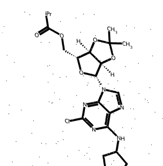 CC(C)C(=O)OC[C@H]1O[C@@H](n2cnc3c(NC4CCCC4)nc(Cl)nc32)[C@@H]2OC(C)(C)O[C@@H]21